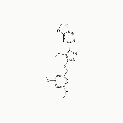 CCn1c(SCc2cc(OC)cc(OC)c2)nnc1-c1ccc2c(c1)OCO2